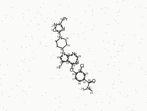 CC(C)c1noc(N2CCC(n3cc(F)c4c(Oc5ccc(C(=O)N(C)C)cc5Cl)ncnc43)CC2)n1